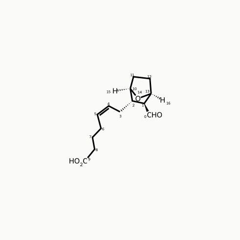 O=C[C@H]1[C@H](C/C=C\CCCC(=O)O)[C@H]2CC[C@@H]1O2